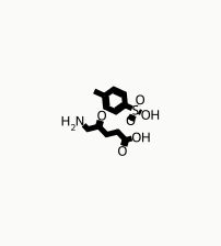 Cc1ccc(S(=O)(=O)O)cc1.NCC(=O)CCC(=O)O